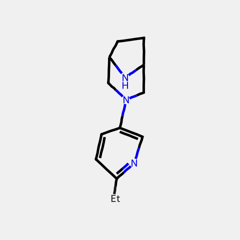 CCc1ccc(N2CC3CCC(C2)N3)cn1